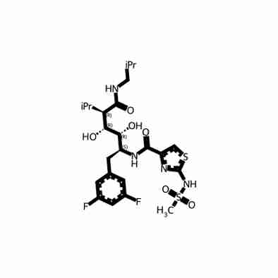 CC(C)CNC(=O)[C@H](C(C)C)[C@@H](O)[C@H](O)[C@H](Cc1cc(F)cc(F)c1)NC(=O)c1csc(NS(C)(=O)=O)n1